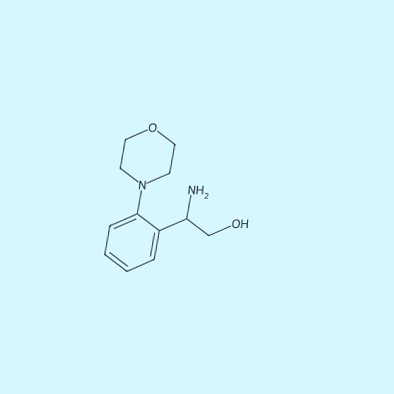 NC(CO)c1ccccc1N1CCOCC1